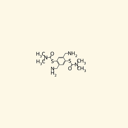 CN(C)C(=O)Sc1cc(CN)c(SC(=O)N(C)C)cc1CN